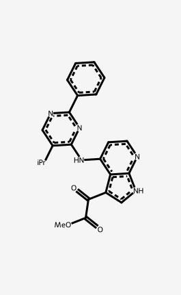 COC(=O)C(=O)c1c[nH]c2nccc(Nc3nc(-c4ccccc4)ncc3C(C)C)c12